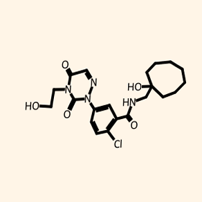 O=C(NCC1(O)CCCCCCC1)c1cc(-n2ncc(=O)n(CCO)c2=O)ccc1Cl